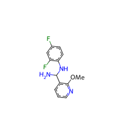 COc1ncccc1C(N)Nc1ccc(F)cc1F